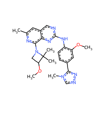 COc1cc(-c2nncn2C)ccc1Nc1ncc2cc(C)nc(N3CC(OC)C3(C)C)c2n1